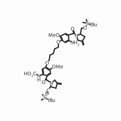 C=C1CC(CO[Si](C)(C)C(C)(C)C)N(C(=O)c2cc(OC)c(OCCCCCOc3cc(NC(=O)O)c(C(=O)N4CC(=C)CC4CO[Si](C)(C)C(C)(C)C)cc3OC)cc2N)C1